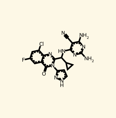 N#Cc1c(N)nc(N)nc1NC(c1nc2c(Cl)cc(F)cc2c(=O)n1-c1cc[nH]n1)C1CC1